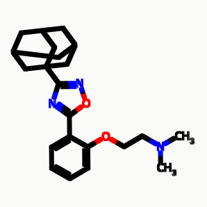 CN(C)CCOc1ccccc1-c1nc(C23CC4CC(CC(C4)C2)C3)no1